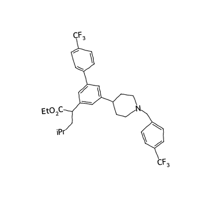 CCOC(=O)C(CC(C)C)c1cc(-c2ccc(C(F)(F)F)cc2)cc(C2CCN(Cc3ccc(C(F)(F)F)cc3)CC2)c1